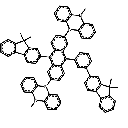 CN1c2ccccc2N(c2ccc3c(-c4ccc5c(c4)C(C)(C)c4ccccc4-5)c4cc(N5c6ccccc6N(C)c6ccccc65)ccc4c(-c4cccc(-c5ccc6c(c5)C(C)(C)c5ccccc5-6)c4)c3c2)c2ccccc21